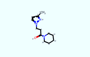 Cc1ccn(CCC(=O)N2CCCCC2)n1